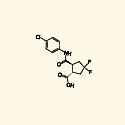 O=C(O)[C@H]1CC(F)(F)C[C@@H]1C(=O)Nc1ccc(Cl)cc1